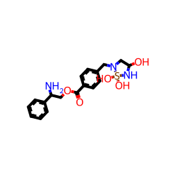 NC(COC(=O)c1ccc(CN2CC(O)NS2(O)O)cc1)c1ccccc1